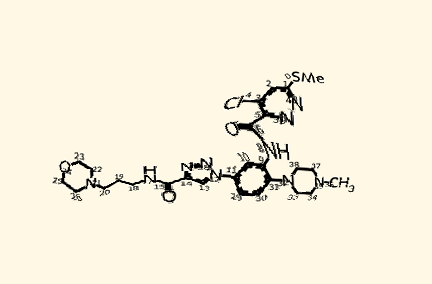 CSc1cc(Cl)c(C(=O)Nc2cc(-n3cc(C(=O)NCCCN4CCOCC4)nn3)ccc2N2CCN(C)CC2)nn1